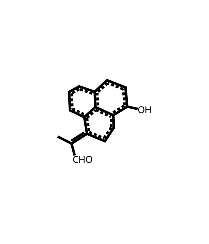 CC(C=O)=c1ccc2c(O)ccc3cccc1c32